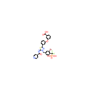 O=C(O)c1cccc(Oc2cccc(-c3nn(Cc4ccc(C(F)(F)P(=O)(O)O)c(Br)c4)/c(=N\C(=O)c4ccncc4)s3)c2)c1